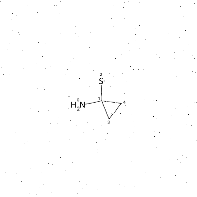 NC1([S])CC1